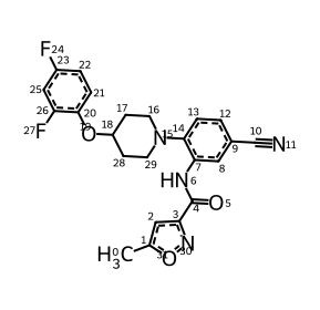 Cc1cc(C(=O)Nc2cc(C#N)ccc2N2CCC(Oc3ccc(F)cc3F)CC2)no1